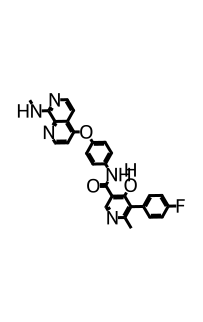 CNc1nccc2c(Oc3ccc(NC(=O)c4cnc(C)c(-c5ccc(F)cc5)c4O)cc3)ccnc12